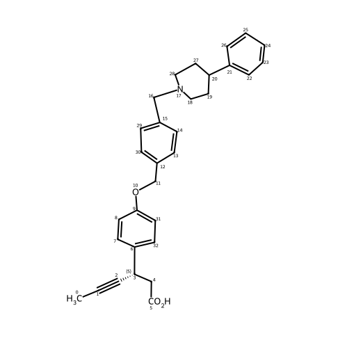 CC#C[C@@H](CC(=O)O)c1ccc(OCc2ccc(CN3CCC(c4ccccc4)CC3)cc2)cc1